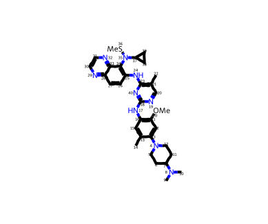 COc1cc(N2CCC(N(C)C)CC2)c(C)cc1Nc1ncc(C)c(Nc2ccc3nccnc3c2N(SC)C2CC2)n1